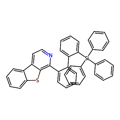 c1ccc([Si](c2ccccc2)(c2ccccc2)c2ccccc2-c2ccccc2-c2nccc3c2sc2ccccc23)cc1